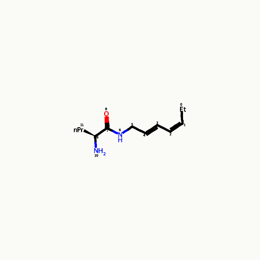 CC/C=C\C=C\CNC(=O)[C@@H](N)CCC